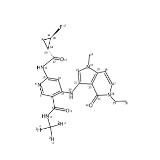 [2H]C([2H])([2H])NC(=O)c1cnc(NC(=O)[C@@H]2C[C@H]2F)cc1Nc1cn(C)c2ccn(CC)c(=O)c12